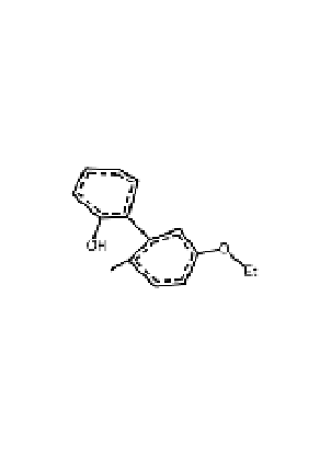 [CH2]COc1ccc(C)c(-c2ccccc2O)c1